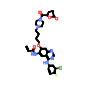 C=CC(=O)Nc1cc2c(Nc3ccc(F)c(Cl)c3)ncnc2cc1OCCCCN1CCN(C(=O)C2CCC(=O)O2)CC1